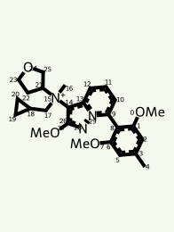 COc1cc(C)cc(OC)c1-c1cccc2c([N+](C)(CC3CC3)C3CCOC3)c(OC)nn12